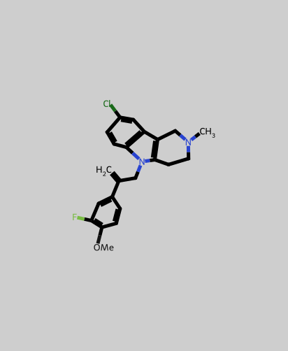 C=C(Cn1c2c(c3cc(Cl)ccc31)CN(C)CC2)c1ccc(OC)c(F)c1